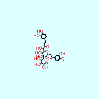 COc1ccc(CCC2O[C@H](C(O)C(=O)C=Cc3ccc(O)c(O)c3)[C@@H](O)[C@@](O)(C3O[C@H](C)[C@@H](O)[C@H](O)[C@@H]3O)[C@H]2O)cc1O